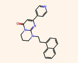 O=c1cc(-c2ccncc2)nc2n1CCCN2CCc1cccc2ccccc12